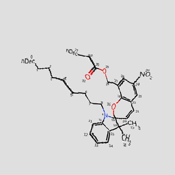 CCCCCCCCCCCCCCCCCCN1c2ccccc2C(C)(C)C12C=Cc1cc([N+](=O)[O-])cc(COC(=O)CCCCCCCCCCC)c1O2